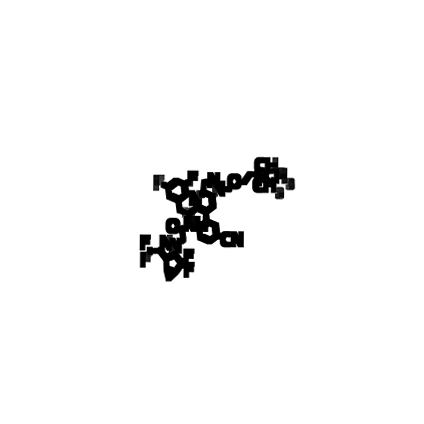 CS(C)(C)CCOCn1ncc2nc([C@H](Cc3cc(F)cc(F)c3)NC(=O)Cn3nc(C(F)F)c4c3C(F)(F)C3CC43)c(-c3cccc(C#N)c3)cc21